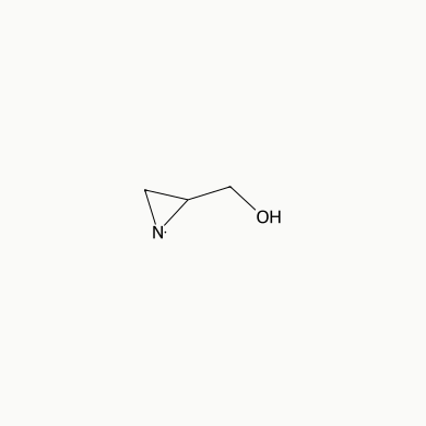 OCC1C[N]1